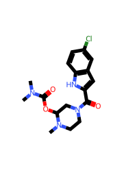 CN(C)C(=O)OC1CN(C(=O)c2cc3cc(Cl)ccc3[nH]2)CCN1C